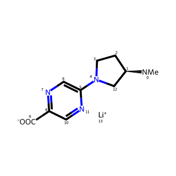 CN[C@@H]1CCN(c2cnc(C(=O)[O-])cn2)C1.[Li+]